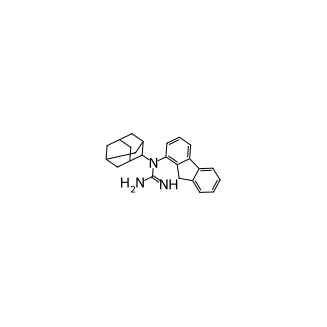 N=C(N)N(c1cccc2c1Cc1ccccc1-2)C1C2CC3CC(C2)CC1C3